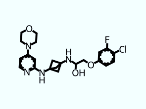 OC(COc1ccc(Cl)c(F)c1)NC12CC(Nc3cc(N4CCOCC4)ccn3)(C1)C2